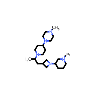 CC(C)N1CCCC(N2CC(CC(C)N3CCC(N4CCN(C)CC4)CC3)C2)C1